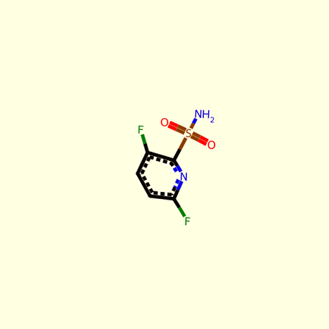 NS(=O)(=O)c1nc(F)ccc1F